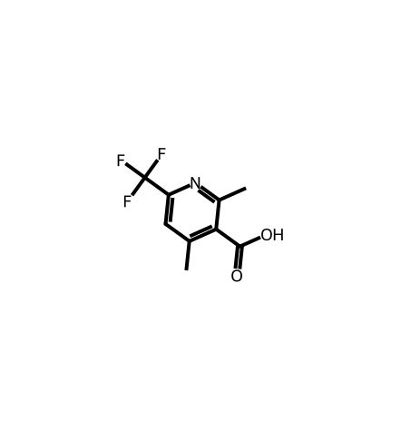 Cc1cc(C(F)(F)F)nc(C)c1C(=O)O